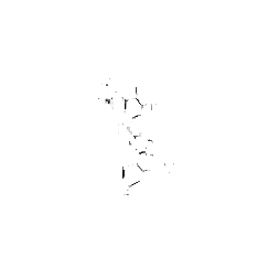 COc1cc(F)ccc1-c1ncnc(Nc2cc(F)c(F)c(CS(C)(=N)=O)c2)n1